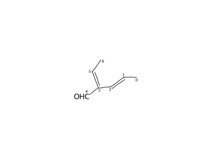 CC=CC(C=O)=CC